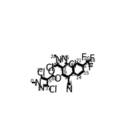 Cn1nc(Cl)c(C(=O)O/C(=C(\C#N)c2ccc(C(F)(F)F)cc2)c2c(Cl)nn(C)c2Cl)c1Cl